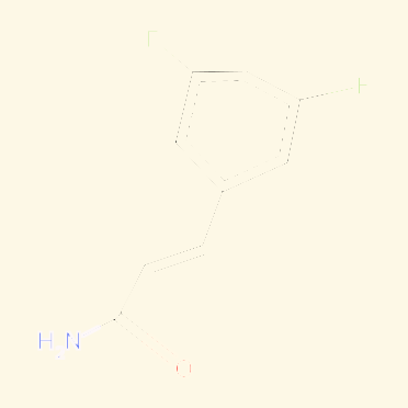 NC(=O)C=Cc1cc(F)cc(F)c1